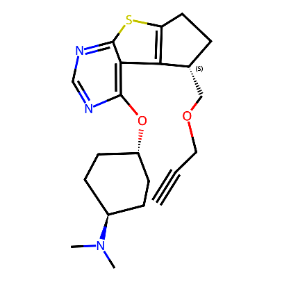 C#CCOC[C@H]1CCc2sc3ncnc(O[C@H]4CC[C@H](N(C)C)CC4)c3c21